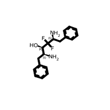 N[C@@H](Cc1ccccc1)[C@@H](O)C(F)(F)[C@@H](N)Cc1ccccc1